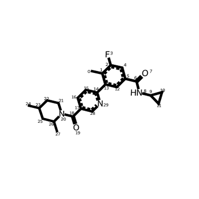 Cc1c(F)cc(C(=O)NC2CC2)cc1-c1ccc(C(=O)N2CCC(C)CC2C)cn1